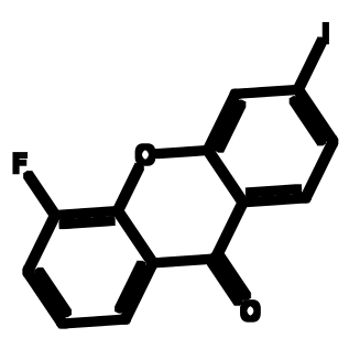 O=c1c2ccc(I)cc2oc2c(F)cccc12